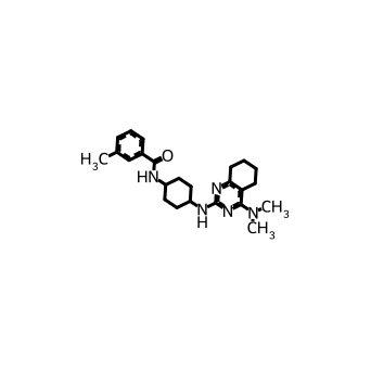 Cc1cccc(C(=O)NC2CCC(Nc3nc4c(c(N(C)C)n3)CCCC4)CC2)c1